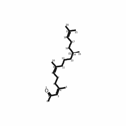 CC(=O)C=C(C)CCC=C(C)CCC[C@H](C)CCC=C(C)C